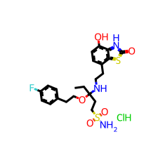 CCC(CCS(N)(=O)=O)(NCCc1ccc(O)c2[nH]c(=O)sc12)OCCc1ccc(F)cc1.Cl